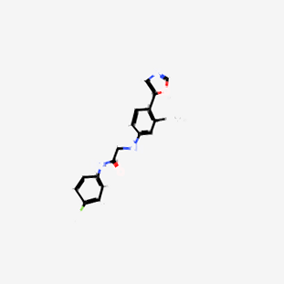 COc1cc(NCC(=O)Nc2ccc(F)cc2)ccc1-c1cnco1